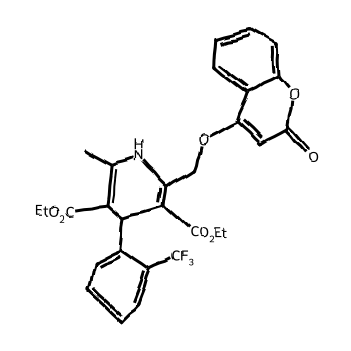 CCOC(=O)C1=C(C)NC(COc2cc(=O)oc3ccccc23)=C(C(=O)OCC)C1c1ccccc1C(F)(F)F